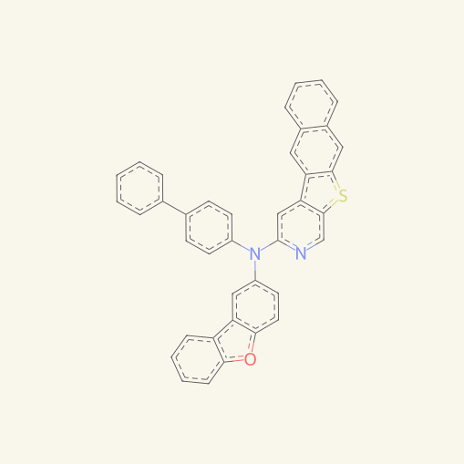 c1ccc(-c2ccc(N(c3ccc4oc5ccccc5c4c3)c3cc4c(cn3)sc3cc5ccccc5cc34)cc2)cc1